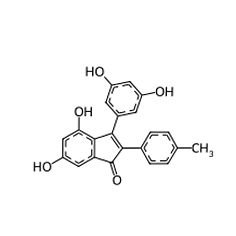 Cc1ccc(C2=C(c3cc(O)cc(O)c3)c3c(O)cc(O)cc3C2=O)cc1